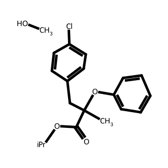 CC(C)OC(=O)C(C)(Cc1ccc(Cl)cc1)Oc1ccccc1.CO